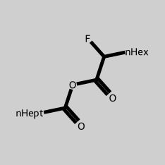 CCCCCCCC(=O)OC(=O)C(F)CCCCCC